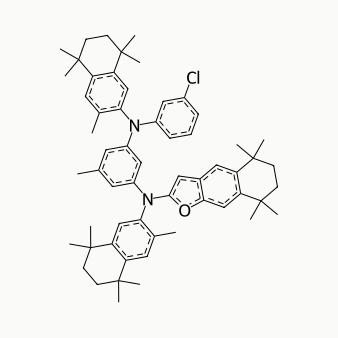 Cc1cc(N(c2cccc(Cl)c2)c2cc3c(cc2C)C(C)(C)CCC3(C)C)cc(N(c2cc3cc4c(cc3o2)C(C)(C)CCC4(C)C)c2cc3c(cc2C)C(C)(C)CCC3(C)C)c1